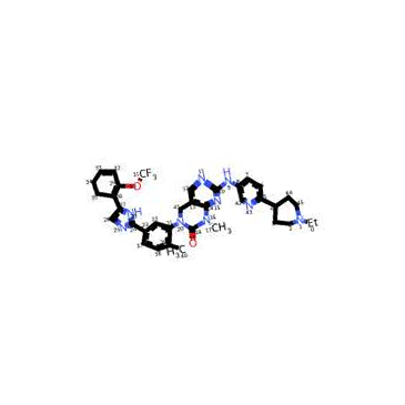 CCN1CCC(c2ccc(Nc3ncc4c(n3)N(C)C(=O)N(c3cc(-c5ncc(C6=C(OC(F)(F)F)C=CCC6)[nH]5)ccc3C)C4)cn2)CC1